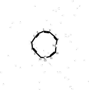 [C]1=CCC=CC=CC=CCC=CCC1